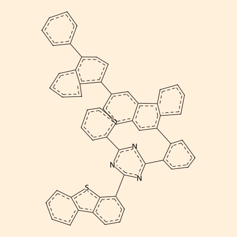 c1ccc(-c2nc(-c3ccccc3-c3cc4ccc(-c5ccc(-c6ccccc6)c6ccccc56)cc4c4ccccc34)nc(-c3cccc4c3sc3ccccc34)n2)cc1